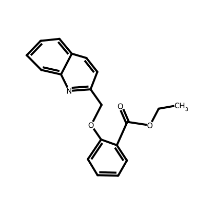 CCOC(=O)c1ccccc1OCc1ccc2ccccc2n1